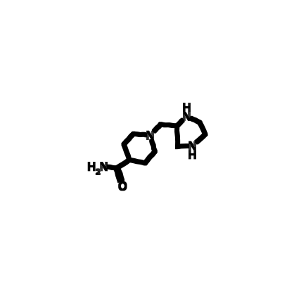 NC(=O)C1CCN(CC2CNCCN2)CC1